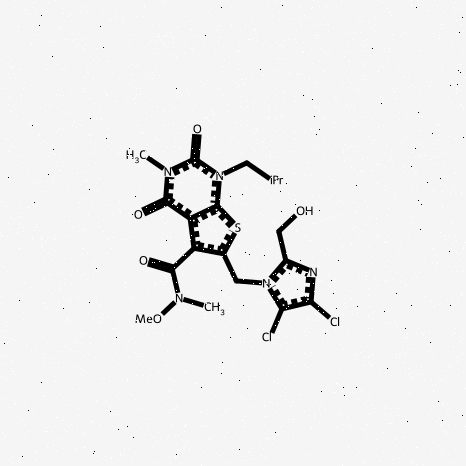 CON(C)C(=O)c1c(Cn2c(CO)nc(Cl)c2Cl)sc2c1c(=O)n(C)c(=O)n2CC(C)C